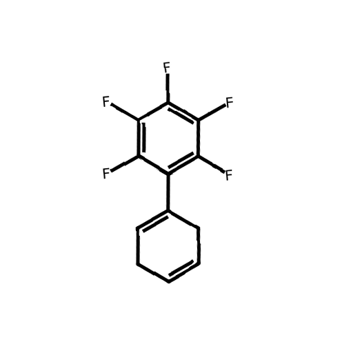 Fc1c(F)c(F)c(C2=CCC=CC2)c(F)c1F